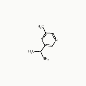 Cc1cncc(C(C)N)n1